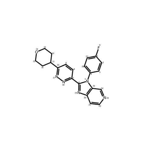 Fc1ccc(-n2c(-c3ccc(C4CCOCC4)nn3)nc3ccncc32)cc1